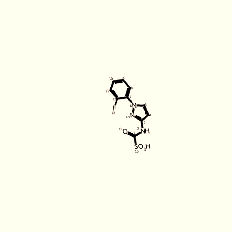 O=C(Nc1ccn(-c2ccccc2F)n1)S(=O)(=O)O